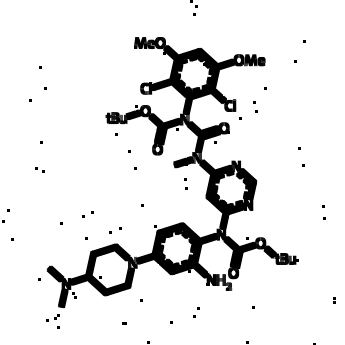 COc1cc(OC)c(Cl)c(N(C(=O)OC(C)(C)C)C(=O)N(C)c2cc(N(C(=O)OC(C)(C)C)c3ccc(N4CCC(N(C)C)CC4)cc3N)ncn2)c1Cl